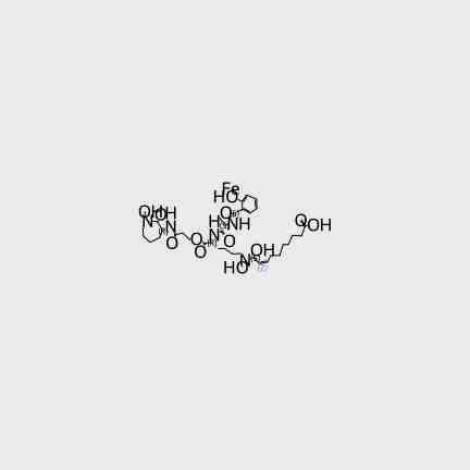 O=C(O)CCCCCC/C=C\[C@H](O)N(O)CCCC[C@@H](NC(=O)[C@@H]1CO[C@@H](c2ccccc2O)N1)C(=O)OCCC(=O)N[C@@H]1CCCCN(O)C1=O.[Fe]